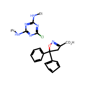 CCNc1nc(Cl)nc(NC(C)C)n1.O=C(O)C1=NOC(c2ccccc2)(c2ccccc2)C1